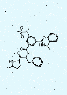 CC1CCC(C(=O)C(Cc2ccccc2)NC(=O)c2cc(C(=O)NC(C)c3ccccc3)cc(N(C)S(C)(=O)=O)c2)N1